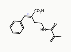 C=C(C)C(=O)NCC/C(=C\c1ccccc1)C(=O)O